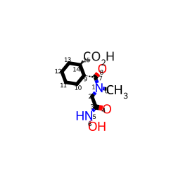 CN(CC(=O)NO)C(=O)[C@@H]1CCCC[C@H]1C(=O)O